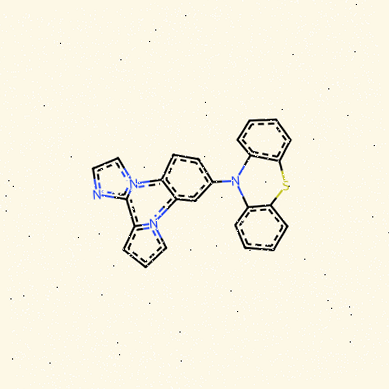 c1ccc2c(c1)Sc1ccccc1N2c1ccc2c(c1)n1cccc1c1nccn21